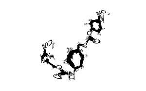 Cn1c([N+](=O)[O-])cnc1COC(=O)Nc1ccc(COC(=O)Oc2ccc([N+](=O)[O-])cc2)cc1